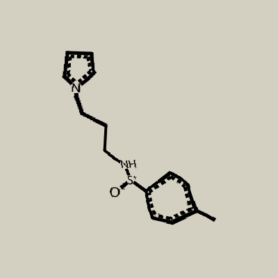 Cc1ccc([S+]([O-])NCCCn2cccc2)cc1